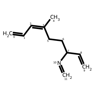 C=C/C=C(/C)CCC(C=C)N=C